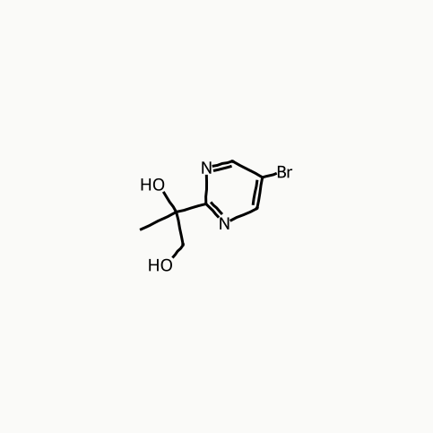 CC(O)(CO)c1ncc(Br)cn1